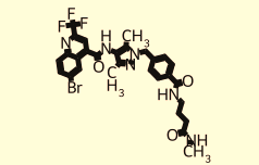 CNC(=O)CCCNC(=O)c1ccc(Cn2nc(C)c(NC(=O)c3cc(C(F)(F)F)nc4ccc(Br)cc34)c2C)cc1